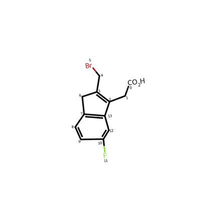 O=C(O)CC1=C(CBr)Cc2ccc(F)cc21